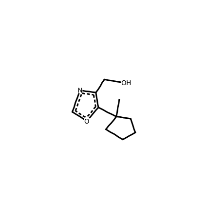 CC1(c2ocnc2CO)CCCC1